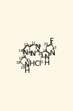 Cl.Fc1cnc2[nH]cc(-c3ncc4ccn(C5CCCNC5)c4n3)c2c1